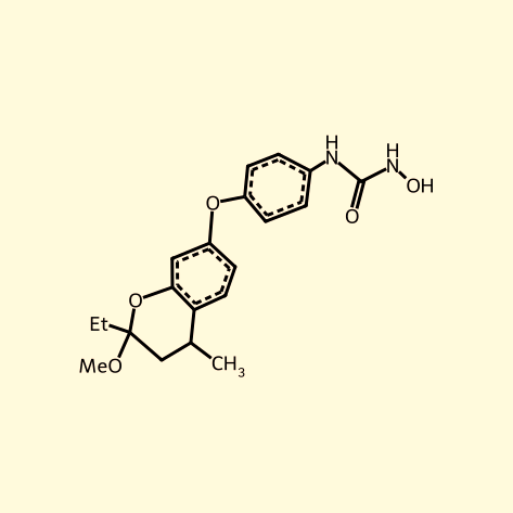 CCC1(OC)CC(C)c2ccc(Oc3ccc(NC(=O)NO)cc3)cc2O1